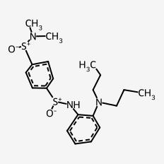 CCCN(CCC)c1ccccc1N[S+]([O-])c1ccc([S+]([O-])N(C)C)cc1